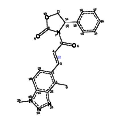 Cc1c(/C=C/C(=O)N2C(=O)OC[C@@H]2c2ccccc2)ccc2c1nnn2C